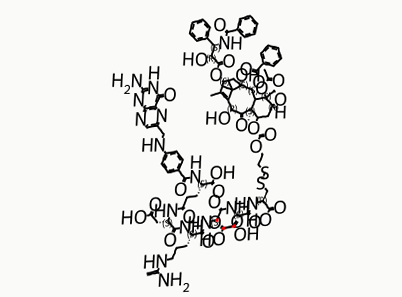 C=C(N)NCCC[C@H](NC(=O)[C@H](CC(=O)O)NC(=O)CC[C@H](NC(=O)c1ccc(NCc2cnc3nc(N)[nH]c(=O)c3n2)cc1)C(=O)O)C(=O)N[C@@H](CC(=O)O)C(=O)N[C@@H](CC(=O)O)C(=O)N[C@@H](CSSCCOC(=O)OC1C[C@H]2OC[C@@]2(OC(C)=O)C2[C@H](OC(=O)c3ccccc3)[C@]3(O)C[C@H](OC(=O)[C@H](O)[C@@H](NC(=O)c4ccccc4)c4ccccc4)C(C)=C([C@@H](O)C(=O)[C@]12C)C3(C)C)C(=O)O